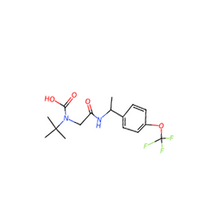 CC(NC(=O)CN(C(=O)O)C(C)(C)C)c1ccc(OC(F)(F)F)cc1